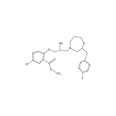 COC(=O)c1cc(Cl)ccc1OCC(O)CN1CCCOC(Cc2ccc(F)cc2)C1